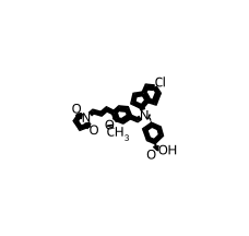 COc1cc(CN(C[C@H]2CC[C@H](C(=O)O)CC2)C2CCc3cc(Cl)ccc32)ccc1CCCN1C(=O)CCC1=O